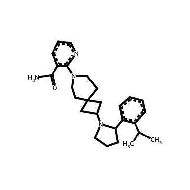 CC(C)c1ccccc1C1CCCN1C1CC2(CCN(c3ncccc3C(N)=O)CC2)C1